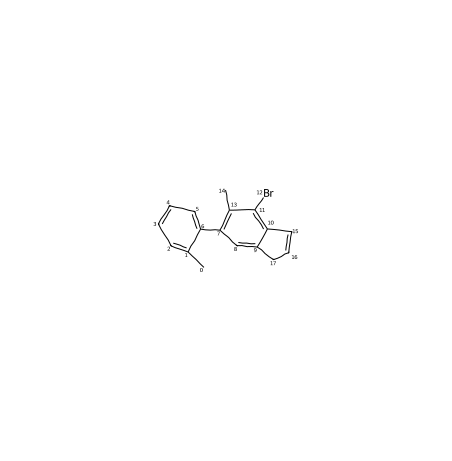 Cc1ccccc1-c1cc2c(c(Br)c1C)C=CC2